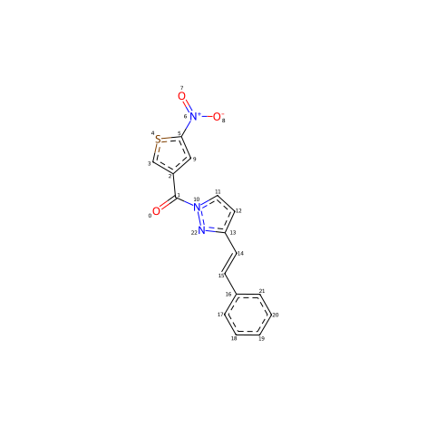 O=C(c1csc([N+](=O)[O-])c1)n1ccc(C=Cc2ccccc2)n1